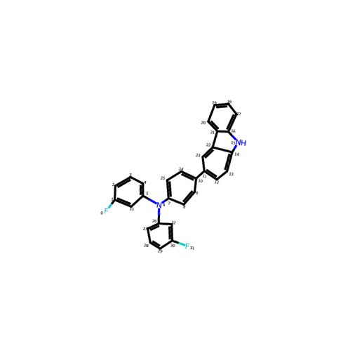 Fc1cccc(N(c2ccc(-c3ccc4[nH]c5ccccc5c4c3)cc2)c2cccc(F)c2)c1